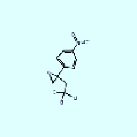 O=[N+]([O-])c1ccc(C2(CC(Cl)(Cl)Cl)CO2)cc1